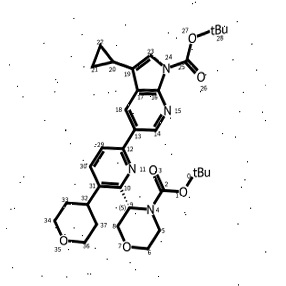 CC(C)(C)OC(=O)N1CCOC[C@@H]1c1nc(-c2cnc3c(c2)c(C2CC2)cn3C(=O)OC(C)(C)C)ccc1C1CCOCC1